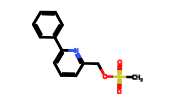 CS(=O)(=O)OCc1cccc(-c2ccccc2)n1